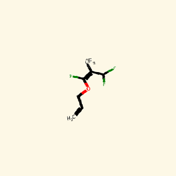 C=CCOC(F)=C(C(F)F)C(F)(F)F